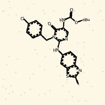 Cc1nc2ccc(Nc3ncc(NC(=O)OC(C)(C)C)c(=O)n3Cc3ccc(Cl)cc3)cc2s1